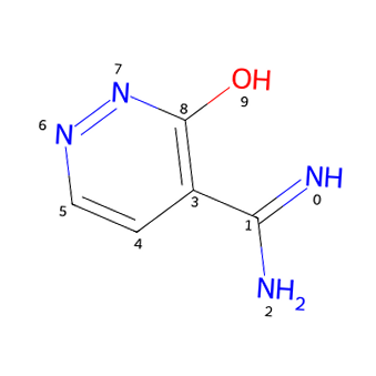 N=C(N)c1ccnnc1O